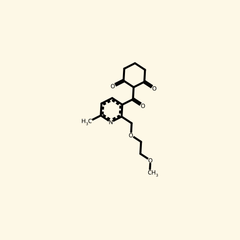 COCCOCc1nc(C)ccc1C(=O)C1C(=O)CCCC1=O